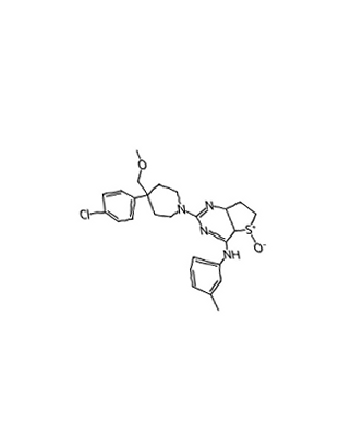 COCC1(c2ccc(Cl)cc2)CCN(C2=NC3CC[S+]([O-])C3C(Nc3cccc(C)c3)=N2)CC1